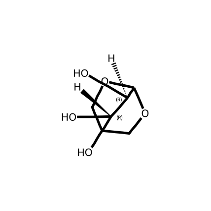 O[C@@H]1[C@@H](O)C2OCC1(O)CO2